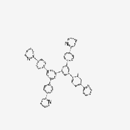 CC1CC(c2ccccn2)=CC=C1c1cc(-c2ccc(-c3ccccn3)cc2)cc(-c2cc(-c3ccc(-c4ccccn4)cc3)cc(-c3ccc(-c4ccccn4)cc3)c2)c1